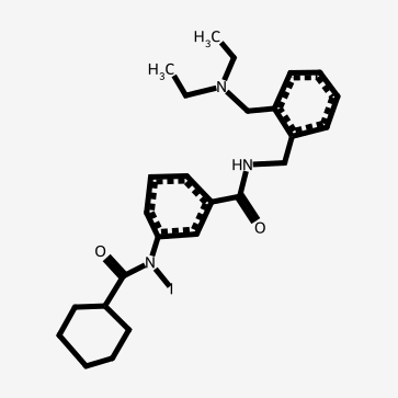 CCN(CC)Cc1ccccc1CNC(=O)c1cccc(N(I)C(=O)C2CCCCC2)c1